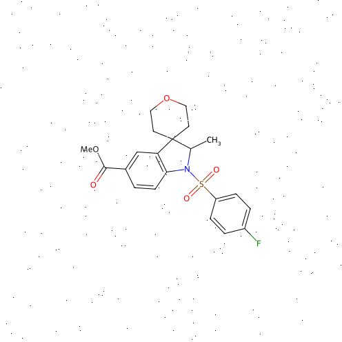 COC(=O)c1ccc2c(c1)C1(CCOCC1)C(C)N2S(=O)(=O)c1ccc(F)cc1